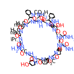 CCCC[C@H]1C(=O)N(C)[C@@H](CCCC)C(=O)N[C@@H](CC(C)C)C(=O)N[C@H](C(N)=O)CNCC(=O)N[C@@H](Cc2ccc(O)cc2)C(=O)N2CCCC[C@H]2C(=O)N[C@@H](CC(=O)O)C(=O)N2CCC[C@H]2C(=O)N[C@@H](CCC(N)=O)C(=O)N[C@@H](CCC(N)=O)C(=O)N2C[C@H](O)C[C@H]2C(=O)N[C@@H](Cc2c[nH]c3ccccc23)C(=O)N[C@@H](CC(N)=O)C(=O)N[C@@H](Cc2cn(CC(=O)O)c3ccccc23)C(=O)N1C